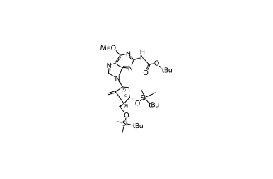 C=C1[C@H](CO[Si](C)(C)C(C)(C)C)[C@@H](O[Si](C)(C)C(C)(C)C)C[C@@H]1n1cnc2c(OC)nc(NC(=O)OC(C)(C)C)nc21